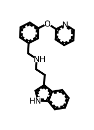 c1ccc(Oc2cccc(CNCCc3c[nH]c4ccccc34)c2)nc1